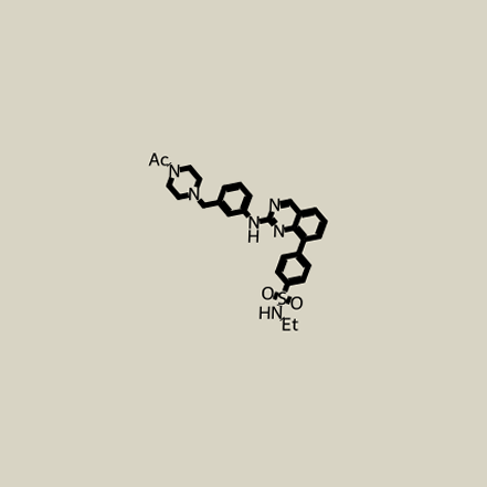 CCNS(=O)(=O)c1ccc(-c2cccc3cnc(Nc4cccc(CN5CCN(C(C)=O)CC5)c4)nc23)cc1